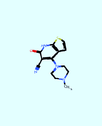 CN1CCN(c2c(C#N)c(=O)[nH]c3sccc23)CC1